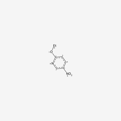 CCOc1ccc([N+](=O)[O-])cn1